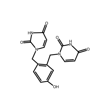 O=c1ccn(Cc2ccc(O)cc2Cn2ccc(=O)[nH]c2=O)c(=O)[nH]1